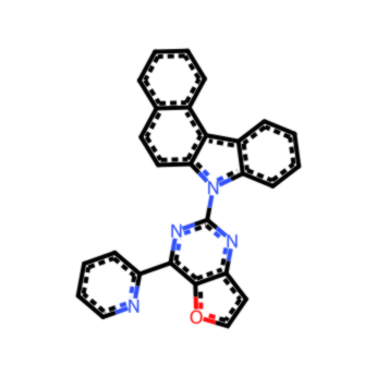 c1ccc(-c2nc(-n3c4ccccc4c4c5ccccc5ccc43)nc3ccoc23)nc1